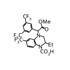 CCC1CN(C(C(=O)OC)c2cc(C(F)(F)F)cc(C(F)(F)F)c2)c2cc(C(F)(F)F)ccc2N1C(=O)O